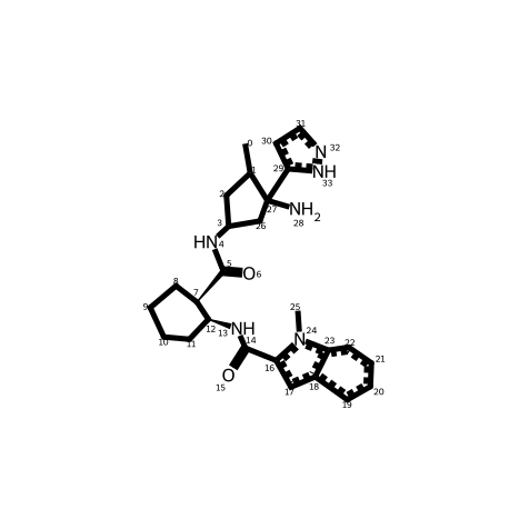 CC1CC(NC(=O)[C@@H]2CCCC[C@@H]2NC(=O)c2cc3ccccc3n2C)CC1(N)c1ccn[nH]1